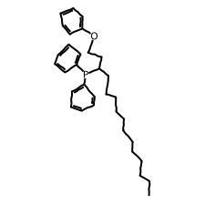 CCCCCCCCCCCCC(CCOc1ccccc1)P(c1ccccc1)c1ccccc1